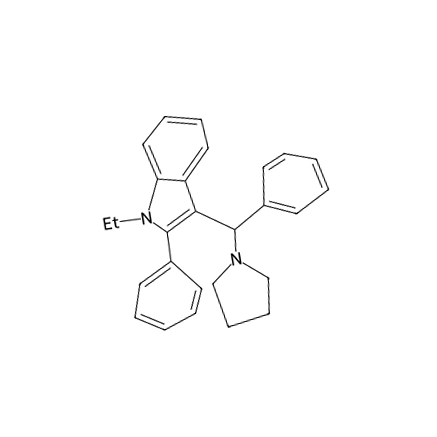 CCn1c(-c2ccccc2)c(C(c2ccccc2)N2CCCC2)c2ccccc21